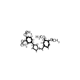 COc1ccc(CN2CCC(c3ccc(OC)c(OC)c3)C2)cc1OC